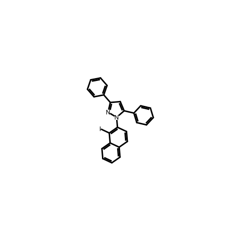 Ic1c(-n2nc(-c3ccccc3)cc2-c2ccccc2)ccc2ccccc12